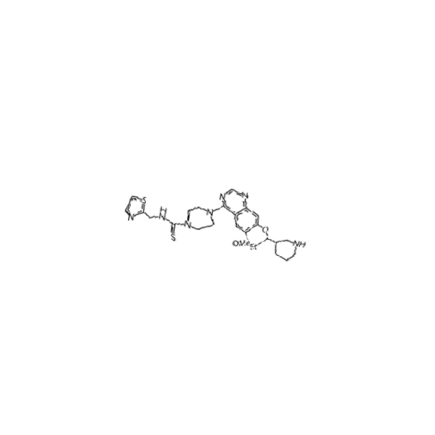 CCC(Oc1cc2ncnc(N3CCN(C(=S)NCc4nccs4)CC3)c2cc1OC)C1CCCNC1